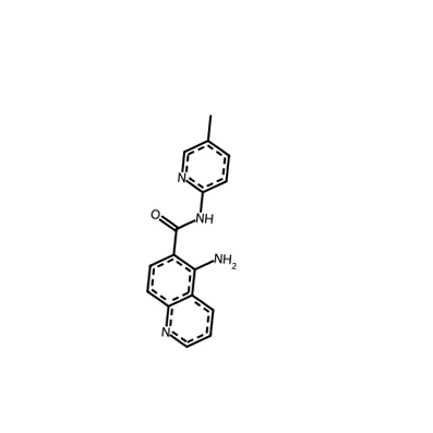 Cc1ccc(NC(=O)c2ccc3ncccc3c2N)nc1